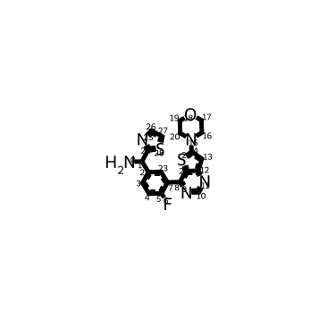 NC(c1ccc(F)c(-c2ncnc3cc(N4CCOCC4)sc23)c1)c1nccs1